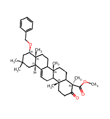 COC(=O)[C@@]1(C)C(=O)CC[C@@]2(C)C1CC[C@@]1(C)C3CC[C@@]4(C)[C@H](OCc5ccccc5)CC(C)(C)C[C@H]4C3=CCC12